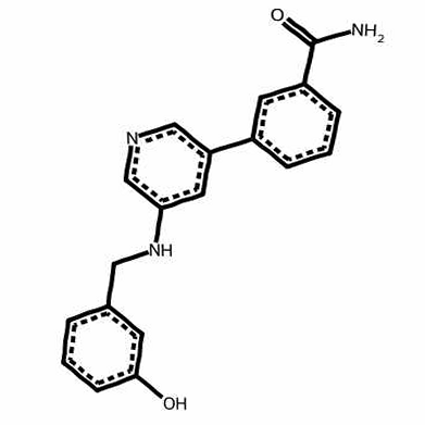 NC(=O)c1cccc(-c2cncc(NCc3cccc(O)c3)c2)c1